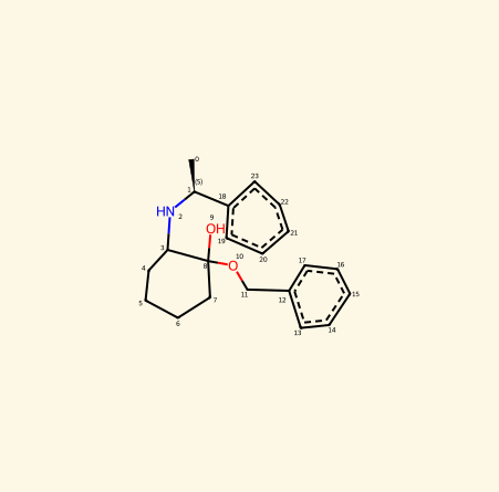 C[C@H](NC1CCCCC1(O)OCc1ccccc1)c1ccccc1